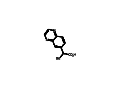 CC(C)(C)C(C(=O)O)c1ccc2nccnc2c1